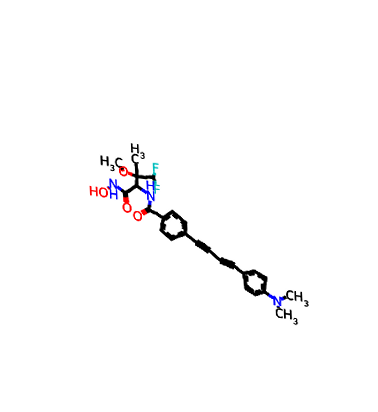 COC(C)(C(F)F)C(NC(=O)c1ccc(C#CC#Cc2ccc(N(C)C)cc2)cc1)C(=O)NO